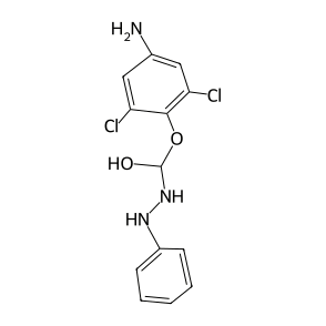 Nc1cc(Cl)c(OC(O)NNc2ccccc2)c(Cl)c1